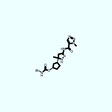 CC[C@H](C)NC(=O)O[C@@H]1CC[C@H](C2(C)CC(NC(=O)c3cnnn3C)=NN2)C1